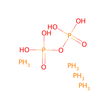 O=P(O)(O)OP(=O)(O)O.P.P.P.P